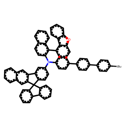 CC(C)(C)c1ccc(-c2ccc(-c3ccc(N(c4ccc5c(c4)-c4cc6ccccc6cc4C54c5ccccc5-c5ccccc54)c4ccc5ccccc5c4-c4cccc5oc6ccccc6c45)cc3)cc2)cc1